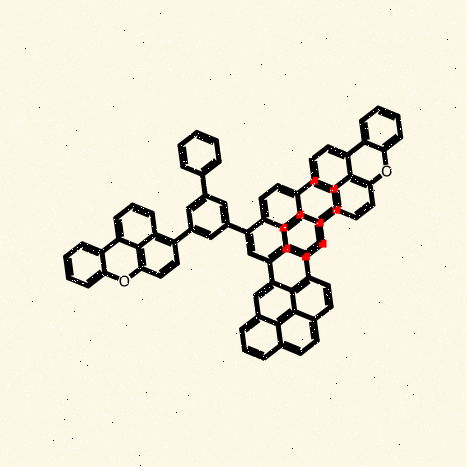 c1ccc(-c2cc(-c3ccc4c5c(cccc35)-c3ccccc3O4)cc(-c3cc(-c4cc5cccc6ccc7ccc(-c8cccc(-c9ccc%10c%11c(cccc9%11)-c9ccccc9O%10)c8)c4c7c65)c4ccc5cccc6ccc3c4c65)c2)cc1